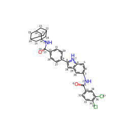 O=C(Nc1ccc2[nH]c(-c3ccc(C(=O)NC45CC6CC(CC(C6)C4)C5)cc3)cc2c1)c1ccc(Cl)c(Cl)c1